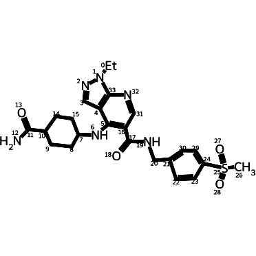 CCn1ncc2c(NC3CCC(C(N)=O)CC3)c(C(=O)NCc3ccc(S(C)(=O)=O)cc3)cnc21